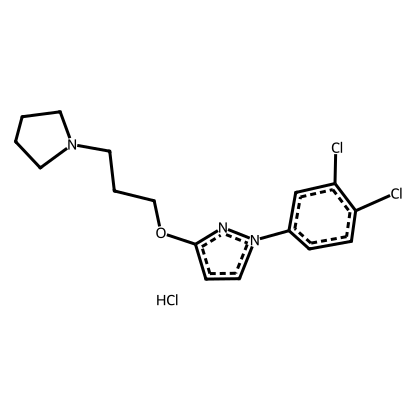 Cl.Clc1ccc(-n2ccc(OCCCN3CCCC3)n2)cc1Cl